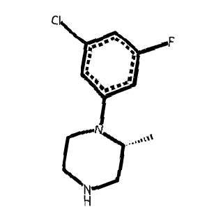 C[C@@H]1CNCCN1c1cc(F)cc(Cl)c1